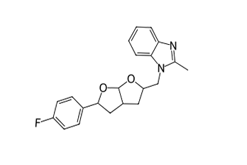 Cc1nc2ccccc2n1CC1CC2CC(c3ccc(F)cc3)OC2O1